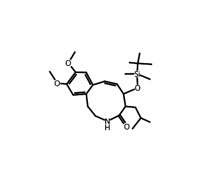 COc1cc2c(cc1OC)CCNC(=O)C(CC(C)C)C(O[Si](C)(C)C(C)(C)C)C=C2